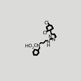 O=C(O)N(CCCNc1nccc(-c2ccc(Cl)cc2Cl)n1)Cc1ccccc1